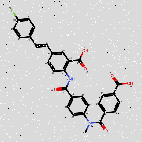 CN(C(=O)c1ccc(C(=O)O)cc1)c1ccc(C(=O)Nc2ccc(/C=C/c3ccc(F)cc3)cc2C(=O)O)cc1